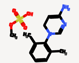 COS(=O)(=O)O.Cc1cccc(C)c1N1C=NC(N)=CC1